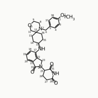 COc1ccc(CN2CCOCC23CCC(Nc2cccc4c2CN(C2CCC(=O)NC2=O)C4=O)CC3)cc1